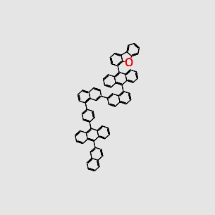 c1ccc2cc(-c3c4ccccc4c(-c4ccc(-c5cccc6ccc(-c7ccc8cccc(-c9c%10ccccc%10c(-c%10cccc%11c%10oc%10ccccc%10%11)c%10ccccc9%10)c8c7)cc56)cc4)c4ccccc34)ccc2c1